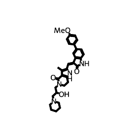 COc1ccc(-c2ccc3c(c2)/C(=C/c2[nH]c4c(c2C)C(=O)N(CC(O)CN2CCCCC2)CC4)C(=O)N3)cc1